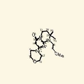 COCCN1c2nc(N3CCOCC3)cc(=O)n2CCC1(C)C